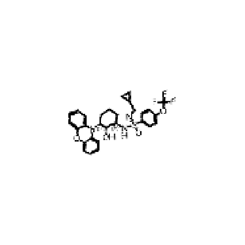 O=S(=NCC1CC1)(N[C@@H]1CCC[C@H](N2c3ccccc3Oc3ccccc32)[C@H]1O)c1ccc(OC(F)(F)F)cc1